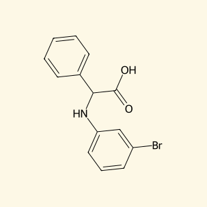 O=C(O)C(Nc1cccc(Br)c1)c1ccccc1